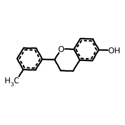 Cc1cccc(C2CCc3cc(O)ccc3O2)c1